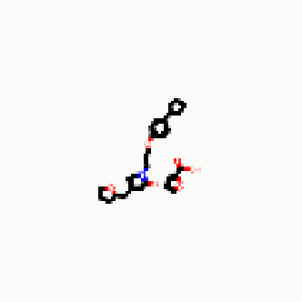 O=C(O)c1ccco1.O=c1cc(CC2CCCO2)ccn1CCCOc1ccc(C2CCCC2)cc1